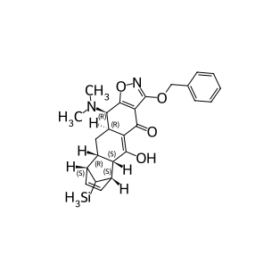 CN(C)[C@H]1c2onc(OCc3ccccc3)c2C(=O)C2=C(O)[C@H]3[C@@H](C[C@H]21)[C@H]1C=C[C@@H]3C1[SiH3]